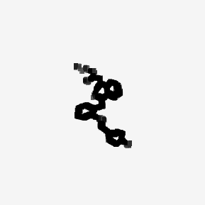 COC(=O)Cc1cnc(Cc2ccccc2OCc2ccc(Cl)cc2)c2ccccc12